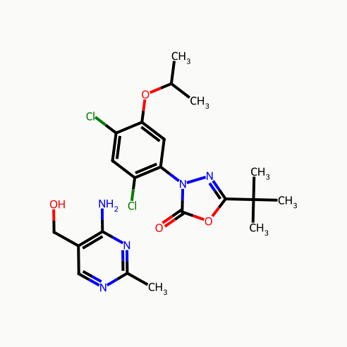 CC(C)Oc1cc(-n2nc(C(C)(C)C)oc2=O)c(Cl)cc1Cl.Cc1ncc(CO)c(N)n1